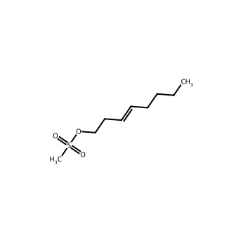 CCCCC=CCCOS(C)(=O)=O